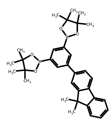 CC1(C)c2ccccc2-c2ccc(-c3cc(B4OC(C)(C)C(C)(C)O4)cc(B4OC(C)(C)C(C)(C)O4)c3)cc21